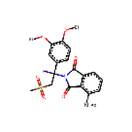 CCOc1ccc(C(I)(CS(C)(=O)=O)N2C(=O)c3cccc(NC(C)=O)c3C2=O)cc1OCC